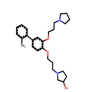 Cc1ccccc1-c1ccc(OCCCN2CCC(O)C2)c(OCCCN2CCCC2)c1